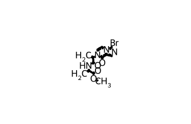 C=C(NC(=O)C(=C)n1ccn2c(Br)ncc2c1=O)C(=O)OC